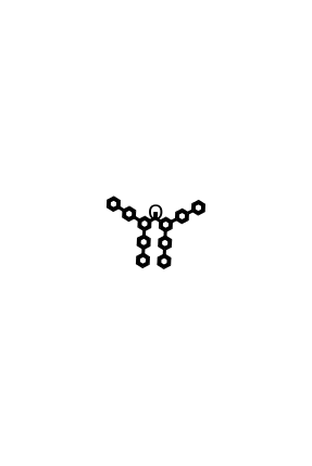 O=C(c1cc(-c2ccc(-c3ccccc3)cc2)cc(-c2ccc(-c3ccccc3)cc2)c1)c1cc(-c2ccc(-c3ccccc3)cc2)cc(-c2ccc(-c3ccccc3)cc2)c1